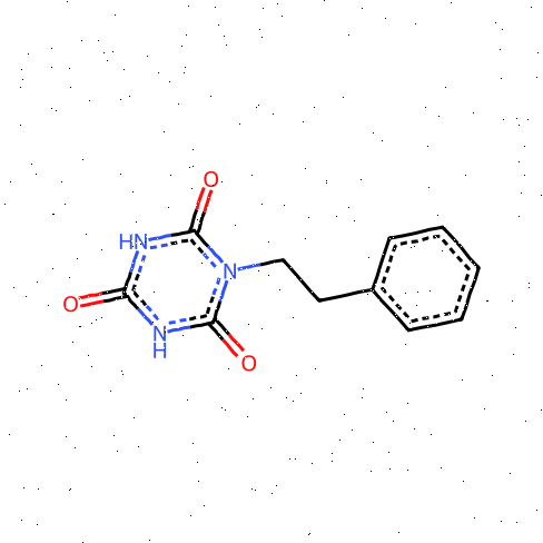 O=c1[nH]c(=O)n(CCc2ccccc2)c(=O)[nH]1